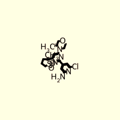 C[C@@H]1COCCN1c1cc([C@@]2(C)CCCS2(=O)=O)nc(-c2cc(N)nc(Cl)c2)n1